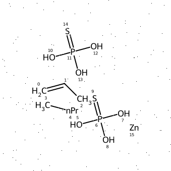 C=CC.CCCC.OP(O)(O)=S.OP(O)(O)=S.[Zn]